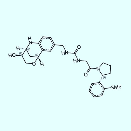 CSc1ccccc1[C@H]1CCCN1C(=O)CNC(=O)NCc1ccc2c(c1)[C@H]1C[C@H](N2)[C@H](O)CO1